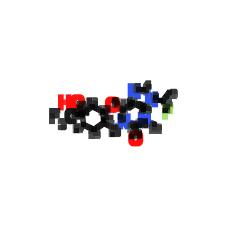 CC(F)n1cnc2c(=O)n(CC3CCC(O)(C(F)(F)F)CC3)c(=O)n(C)c21